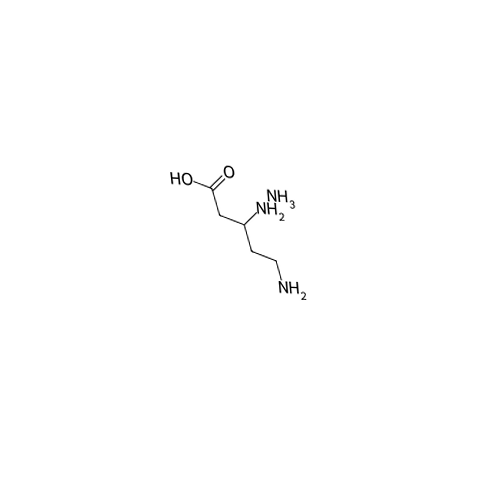 N.NCCC(N)CC(=O)O